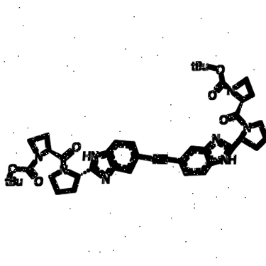 CC(C)(C)OC(=O)N1CC[C@H]1C(=O)N1CCCC1c1nc2cc(C#Cc3ccc4[nH]c([C@@H]5CCCN5C(=O)[C@@H]5CCN5C(=O)OC(C)(C)C)nc4c3)ccc2[nH]1